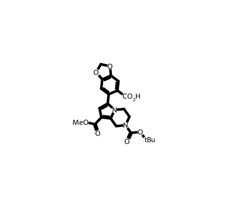 COC(=O)c1cc(-c2cc3c(cc2C(=O)O)OCO3)n2c1CN(C(=O)OC(C)(C)C)CC2